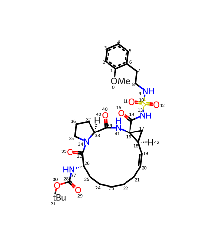 COc1ccccc1CCNS(=O)(=O)NC(=O)[C@@]12C[C@H]1/C=C\CCCCC[C@H](NC(=O)OC(C)(C)C)C(=O)N1CCC[C@H]1C(=O)N2